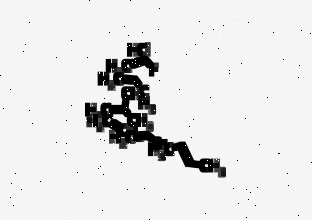 C=C.C=C(C)C.C=CBr.C=CC.C=CF.CC=CC.Cl